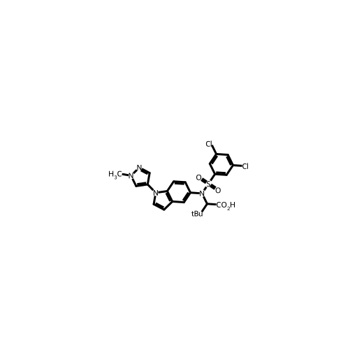 Cn1cc(-n2ccc3cc(N(C(C(=O)O)C(C)(C)C)S(=O)(=O)c4cc(Cl)cc(Cl)c4)ccc32)cn1